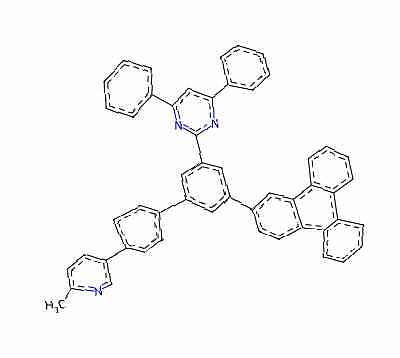 Cc1ccc(-c2ccc(-c3cc(-c4ccc5c6ccccc6c6ccccc6c5c4)cc(-c4nc(-c5ccccc5)cc(-c5ccccc5)n4)c3)cc2)cn1